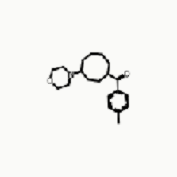 Cc1ccc(C(=O)C2CCCCC(N3CCOCC3)CC2)cc1